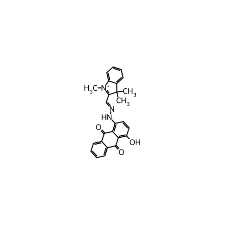 C[N+]1=C(C=NNc2ccc(O)c3c2C(=O)c2ccccc2C3=O)C(C)(C)c2ccccc21